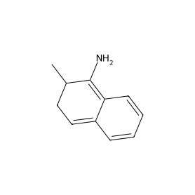 CC1CC=c2ccccc2=C1N